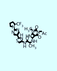 CC(=O)Cn1c(=O)c2c(n(C)c1=O)N[C@@H]2N[C@@H](C)C(=O)NC1=CSC(c2cnc(N3CCC[C@H]3C(F)(F)F)nc2)N1